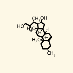 C[C@H]1CCC2(C)C(=CC[C@@H]3[C@@H]2CC[C@]2(C)[C@@H]([C@H](C)C(O)CO)C(O)C[C@@H]32)C1